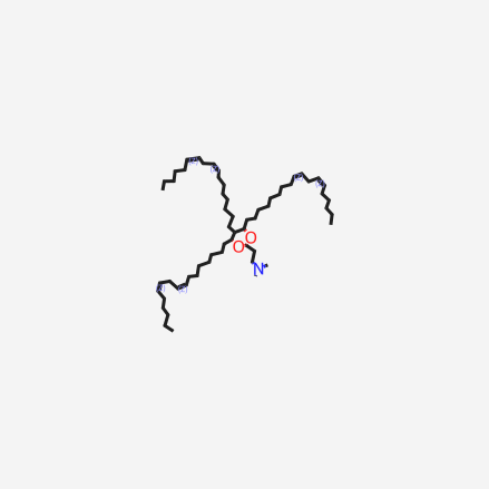 CCCCC/C=C\C/C=C\CCCCCCCCC1OC(CCN(C)C)OC(CCCCCCC/C=C\C/C=C\CCCCC)C1CCCCCCC/C=C\C/C=C\CCCCC